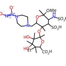 CCC1(C)C(C(=O)O)OC(C)(OC2(C)C(CN3CCN(/[N+]([O-])=N/O)CC3)OC(C)(OC)C(NS(=O)(=O)O)C2S(=O)(=O)O)C(C)(O)C1(C)O